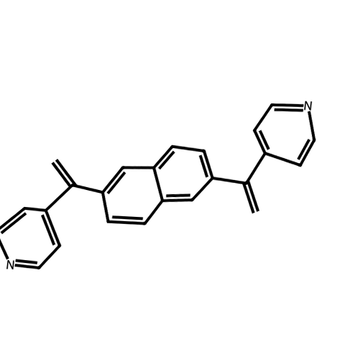 C=C(c1ccncc1)c1ccc2cc(C(=C)c3ccncc3)ccc2c1